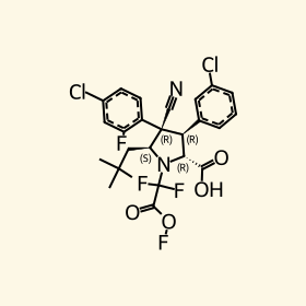 CC(C)(C)C[C@@H]1N(C(F)(F)C(=O)OF)[C@@H](C(=O)O)[C@H](c2cccc(Cl)c2)[C@@]1(C#N)c1ccc(Cl)cc1F